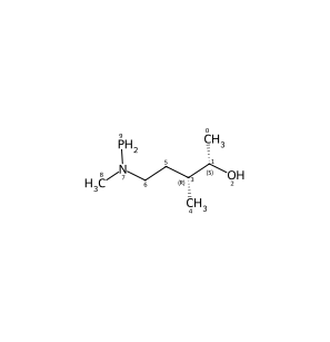 C[C@H](O)[C@H](C)CCN(C)P